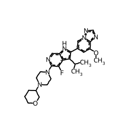 COc1cc(-c2[nH]c3cnc(N4CCN(C5CCCOC5)CC4)c(F)c3c2C(C)C)cn2ncnc12